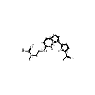 CC(=O)c1ccc(-c2cnc3ccc(NCCN(C)C(=O)O)nn23)s1